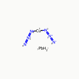 [N-]=[N+]=[N][Cu][N]=[N+]=[N-].[PbH2]